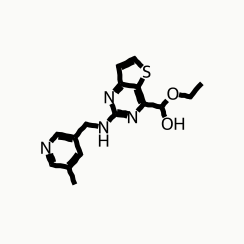 CCOC(O)c1nc(NCc2cncc(C)c2)nc2ccsc12